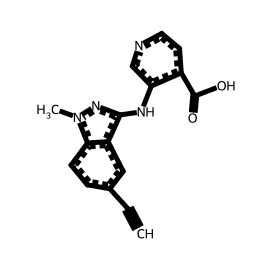 C#Cc1ccc2c(c1)c(Nc1cnccc1C(=O)O)nn2C